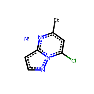 CCc1cc(Cl)n2nccc2n1.[N]